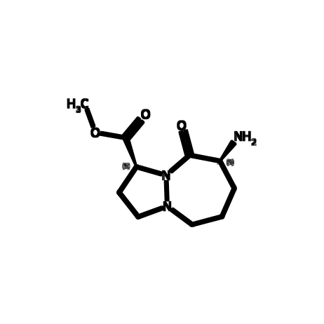 COC(=O)[C@@H]1CCN2CCC[C@H](N)C(=O)N12